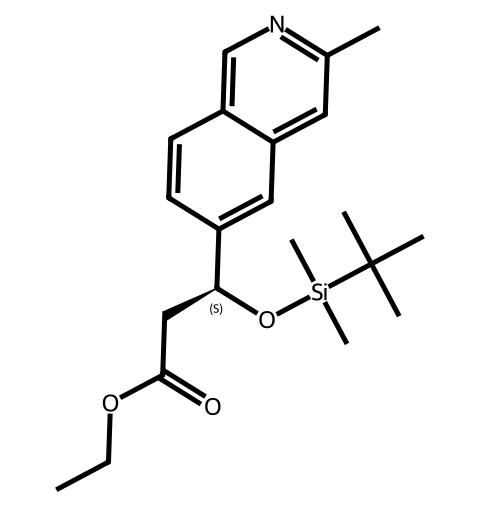 CCOC(=O)C[C@H](O[Si](C)(C)C(C)(C)C)c1ccc2cnc(C)cc2c1